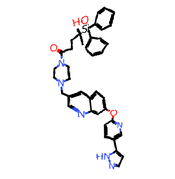 CC(C)(CCC(=O)N1CCN(Cc2cnc3cc(Oc4ccc(-c5ccn[nH]5)cn4)ccc3c2)CC1)[Si](O)(c1ccccc1)c1ccccc1